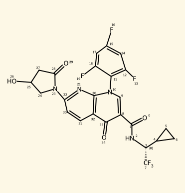 O=C(N[C@H](C1CC1)C(F)(F)F)c1cn(-c2c(F)cc(F)cc2F)c2nc(N3CC(O)CC3=O)ccc2c1=O